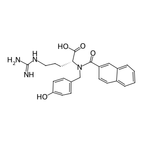 N=C(N)NCCC[C@H](C(=O)O)N(Cc1ccc(O)cc1)C(=O)c1ccc2ccccc2c1